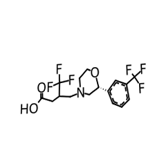 O=C(O)CC(CN1CCO[C@H](c2cccc(C(F)(F)F)c2)C1)C(F)(F)F